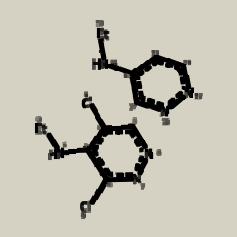 CCNc1c(Cl)cnnc1Cl.CCNc1ccnnc1